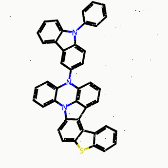 c1ccc(-n2c3ccccc3c3cc(N4c5ccccc5-n5c6ccc7sc8ccccc8c7c6c6cccc4c65)ccc32)cc1